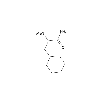 CN[C@@H](CC1CCCCC1)C(N)=O